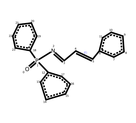 O=P(N=C/C=C/c1ccccc1)(c1ccccc1)c1ccccc1